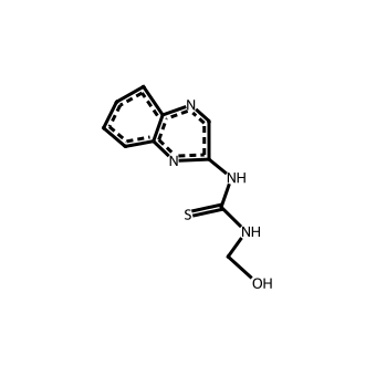 OCNC(=S)Nc1cnc2ccccc2n1